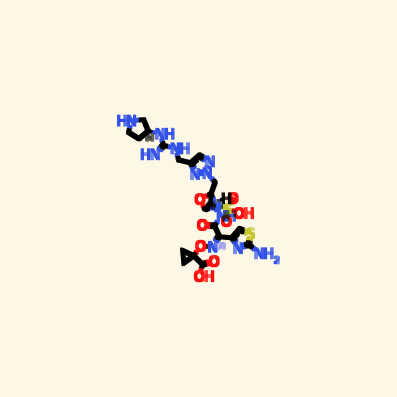 N=C(NCc1cnn(CC23OC([C@@H]2NC(=O)/C(=N\OC2(C(=O)O)CC2)c2csc(N)n2)N3S(=O)(=O)O)n1)N[C@H]1CCNC1